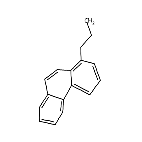 [CH2]CCc1cccc2c1ccc1ccccc12